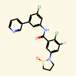 O=C(Nc1cc(Cl)cc(-c2cccnc2)c1)c1cc(N2CCC[S+]2[O-])cc(F)c1Cl